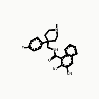 CCc1c(C#N)cc2ccccc2c1C(=O)NCC1(c2ccc(F)cc2)CCN(C)CC1